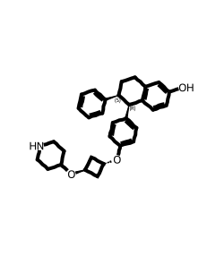 Oc1ccc2c(c1)CC[C@H](c1ccccc1)[C@@H]2c1ccc(O[C@H]2C[C@H](OC3CCNCC3)C2)cc1